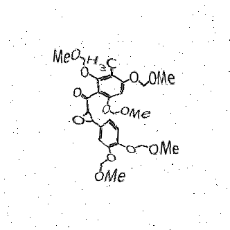 COCOc1ccc(C2OC2C(=O)c2c(OCOC)cc(OCOC)c(C)c2OCOC)cc1OCOC